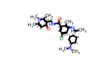 Cc1c(NC(C)[C@H]2CC[C@H](N(C)C)CC2)cc(Cl)cc1C(=O)NCc1c(C)n(C)c(C)cc1=O